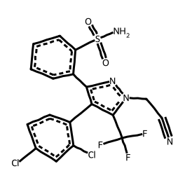 N#CCn1nc(-c2ccccc2S(N)(=O)=O)c(-c2ccc(Cl)cc2Cl)c1C(F)(F)F